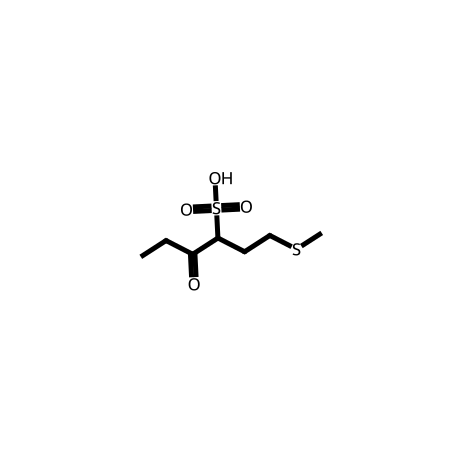 CCC(=O)C(CCSC)S(=O)(=O)O